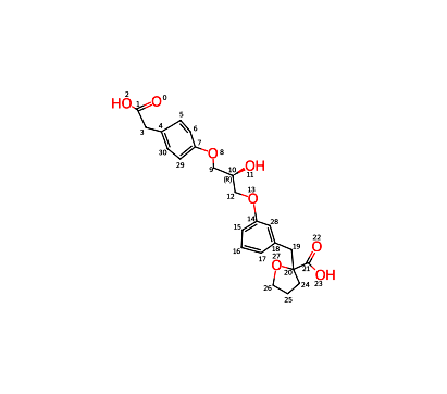 O=C(O)Cc1ccc(OC[C@@H](O)COc2cccc(CC3(C(=O)O)CCCO3)c2)cc1